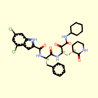 O=C(NC1CCCCC1)C(=O)[C@H](C[C@@H]1CCCNC1=O)NC(=O)[C@H](Cc1ccccc1)NC(=O)c1cc2c(Cl)cc(Cl)cc2[nH]1